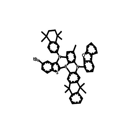 Cc1cc2c3c(c1)N(c1cccc4c1oc1ccccc14)c1cc4c(cc1B3c1sc3ccc(C(C)(C)C)cc3c1N2c1ccc2c(c1)C(C)(C)CCC2(C)C)C(C)(C)c1ccccc1C4(C)C